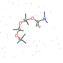 CN(C)[SiH2]O[Si](C)(C)O[Si](C)(C)O[Si](C)(C)C